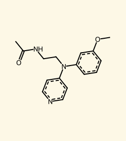 COc1cccc(N(CCNC(C)=O)c2ccncc2)c1